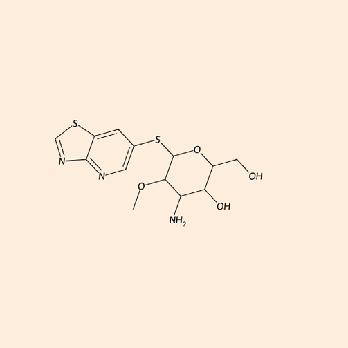 COC1C(Sc2cnc3ncsc3c2)OC(CO)C(O)C1N